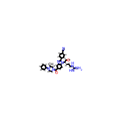 CC1CN(C(=O)c2ccc3c(c2)nc(-c2ccc(C#N)cc2)n3[C@H](C=O)CCCNC(=N)N)CCN1c1ccccc1